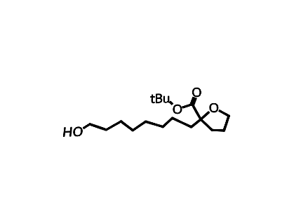 CC(C)(C)OC(=O)C1(CCCCCCCCO)CCCO1